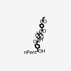 C=CC(=O)Oc1ccc(C(=O)O[C@@H]2CO[C@H]3[C@@H]2OC[C@H]3OC(=O)c2ccc(C(O)CCCCC)cc2)cc1